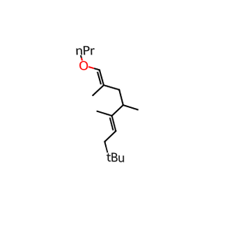 CCCO/C=C(\C)CC(C)/C(C)=C/CC(C)(C)C